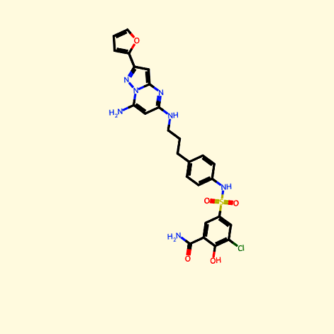 NC(=O)c1cc(S(=O)(=O)Nc2ccc(CCCNc3cc(N)n4nc(-c5ccco5)cc4n3)cc2)cc(Cl)c1O